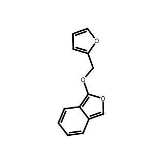 [c]1oc(OCc2ccco2)c2ccccc12